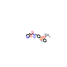 CCOc1cccc(F)c1S(=O)(=O)c1ccc(CNC(=O)c2cc3ccncc3o2)cc1